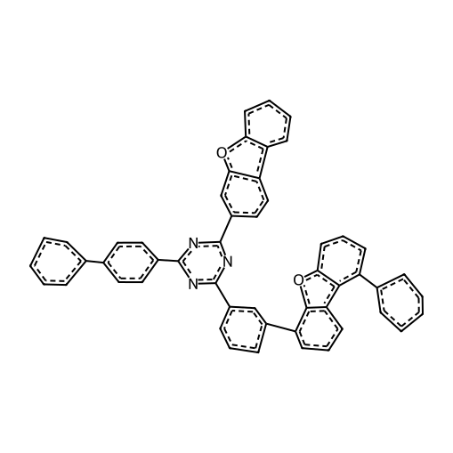 c1ccc(-c2ccc(-c3nc(-c4cccc(-c5cccc6c5oc5cccc(-c7ccccc7)c56)c4)nc(-c4ccc5c(c4)oc4ccccc45)n3)cc2)cc1